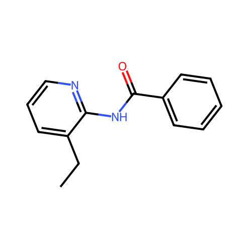 CCc1cccnc1NC(=O)c1ccccc1